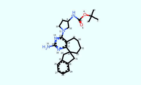 CC(C)(C)OC(=O)NC1CCN(c2nc(N)nc3c2CCCCC32Cc3ccccc3C2)C1